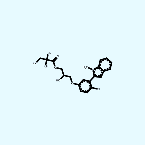 CCc1ccc(OCC(O)COC(=O)C(C)(CC(C)C)C(C)C)cc1-c1cc2ccccc2n1C